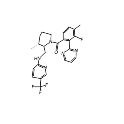 Cc1ccc(C(=O)N2CCC[C@@H](C)C2CNc2ccc(C(F)(F)F)cn2)c(-c2ncccn2)c1F